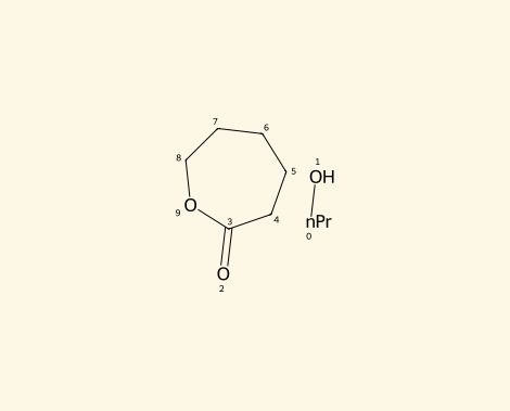 CCCO.O=C1CCCCCO1